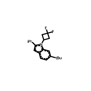 CC(C)c1cc2ccc(C(C)(C)C)cc2n1C1CC(F)(F)C1